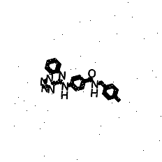 Cc1ccc(CNC(=O)c2ccc(Nc3nc4ccccc4n4nnnc34)cc2)cc1